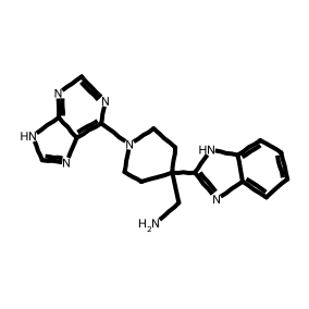 NCC1(c2nc3ccccc3[nH]2)CCN(c2ncnc3[nH]cnc23)CC1